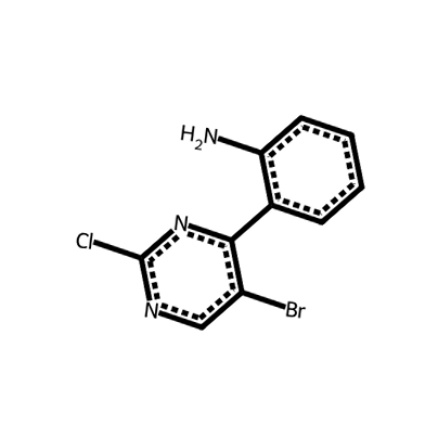 Nc1ccccc1-c1nc(Cl)ncc1Br